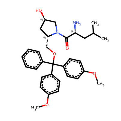 COc1ccc(C(OC[C@@H]2C[C@@H](O)CN2C(=O)[C@@H](N)CC(C)C)(c2ccccc2)c2ccc(OC)cc2)cc1